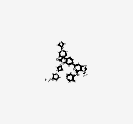 CC(C)n1cnc2cc(-c3ccc4c(c3)N([C@H]3C[C@@H](N5CC[C@H](C)C5)C3)C(=O)C43CCN(C4COC4)CC3)nc(Nc3ccncc3F)c21